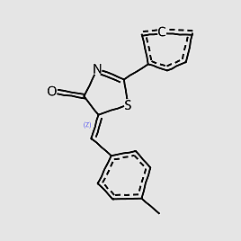 Cc1ccc(/C=C2\SC(c3ccccc3)=NC2=O)cc1